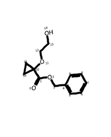 O=C(OCc1ccccc1)C1(OCCO)CC1